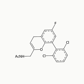 CC(=O)NCC1=CCc2cc(F)cc(-c3c(Cl)cccc3Cl)c2O1